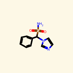 NS(=O)(=O)C(c1ccccc1)n1ccnc1